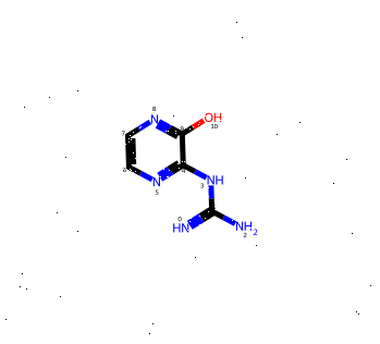 N=C(N)Nc1nccnc1O